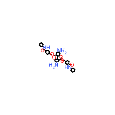 Nc1ccc(-c2ccc(N)cc2C(=O)OCc2ccc(C(=O)Nc3ccccc3)cc2)c(C(=O)OCc2ccc(C(=O)Nc3ccccc3)cc2)c1